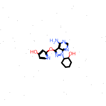 Nc1ncnc2c1c(Oc1cc(O)ccn1)nn2[C@@H]1CCCC[C@@H]1O